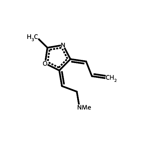 C=C/C=c1/nc(C)o/c1=C/CNC